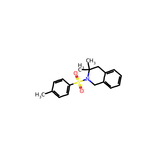 Cc1ccc(S(=O)(=O)N2Cc3ccccc3CC2(C)C)cc1